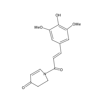 COc1cc(/C=C/C(=O)N2C=CC(=O)CC2)cc(OC)c1O